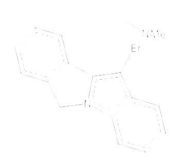 CCc1c2n(c3ccccc13)Cc1ccccc1-2.CNC